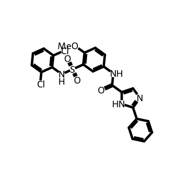 COc1ccc(NC(=O)c2cnc(-c3ccccc3)[nH]2)cc1S(=O)(=O)Nc1c(Cl)cccc1Cl